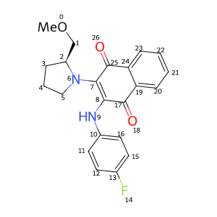 COC[C@@H]1CCCN1C1=C(Nc2ccc(F)cc2)C(=O)c2ccccc2C1=O